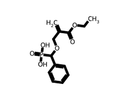 C=C(COC(c1ccccc1)P(=O)(O)O)C(=O)OCC